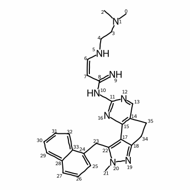 CN(C)CCN/C=C\C(=N)Nc1ncc2c(n1)-c1c(nn(C)c1Cc1cccc3ccccc13)CC2